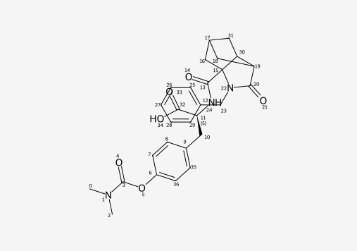 CN(C)C(=O)Oc1ccc(C[C@H](NC(=O)C23CC4CC(C(=O)N2Cc2ccccc2)C3C4)C(=O)O)cc1